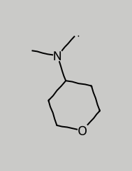 [CH2]N(C)C1CCOCC1